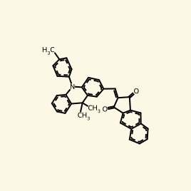 Cc1ccc(N2c3ccccc3C(C)(C)c3cc(C=C4C(=O)c5cc6ccccc6cc5C4=O)ccc32)cc1